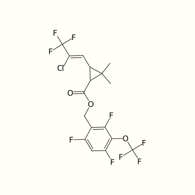 CC1(C)C(C=C(Cl)C(F)(F)F)C1C(=O)OCc1c(F)cc(F)c(OC(F)(F)F)c1F